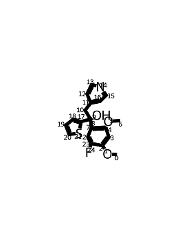 COc1cc(OC)c(C(O)(Cc2ccncc2)c2cccs2)cc1F